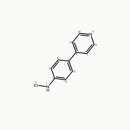 CCNc1ccc(-c2ccncc2)cc1